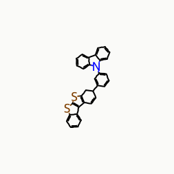 C1=CC(c2cccc(-n3c4ccccc4c4ccccc43)c2)Cc2sc3sc4ccccc4c3c21